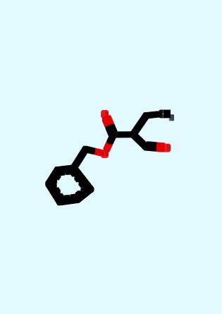 CCC([C]=O)C(=O)OCc1ccccc1